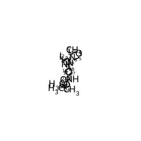 CC[C@H]1COCCN1c1cc(CI)nc(-c2ccc(NC(=O)OC(C)(C)C)cc2)n1